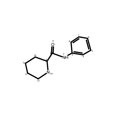 O=C(Nc1ccccc1)C1CCCC[N]1